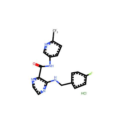 Cl.O=C(Nc1ccc(C(F)(F)F)nc1)c1nccnc1NCc1ccc(F)cc1